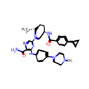 C[C@@H]1CC[C@H](NC(=O)c2ccc(C3CC3)cc2)CN1c1cnc(C(N)=O)c(Nc2ccc(N3CCN(C)CC3)cc2)n1